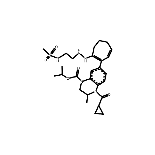 CC(C)OC(=O)N1C[C@H](C)N(C(=O)C2CC2)c2ccc(C3=C(NNCCNS(C)(=O)=O)CCCC=C3)cc21